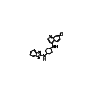 Clc1ccc2c(NC3CCC(Nc4nc5ccccc5s4)CC3)ccnc2c1